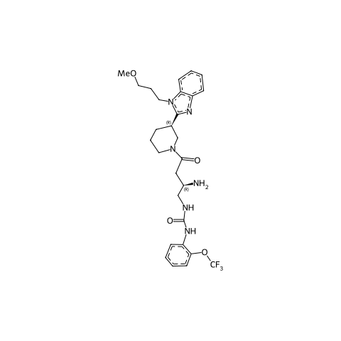 COCCCn1c([C@@H]2CCCN(C(=O)C[C@@H](N)CNC(=O)Nc3ccccc3OC(F)(F)F)C2)nc2ccccc21